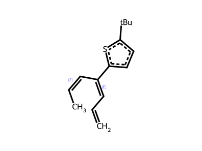 C=C/C=C(\C=C/C)c1ccc(C(C)(C)C)s1